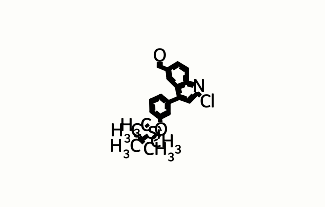 CC(C)(C)[Si](C)(C)Oc1cccc(-c2cc(Cl)nc3ccc(C=O)cc23)c1